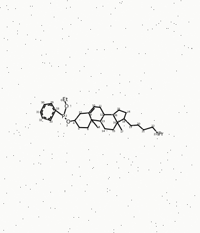 CCOP(OC1CCC2(C)C(=CCC3C2CCC2(C)C(CCCCC(C)C)CCC32)C1)c1ccccc1